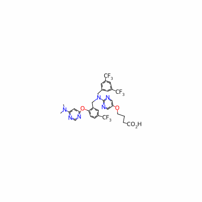 CN(C)c1cc(Oc2ccc(C(F)(F)F)cc2CN(Cc2cc(C(F)(F)F)cc(C(F)(F)F)c2)c2ncc(OCCCC(=O)O)cn2)ncn1